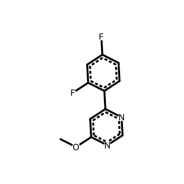 COc1cc(-c2ccc(F)cc2F)ncn1